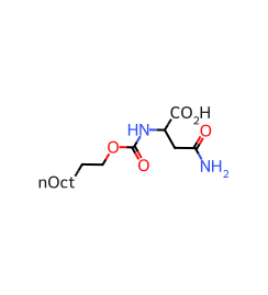 CCCCCCCCCCOC(=O)NC(CC(N)=O)C(=O)O